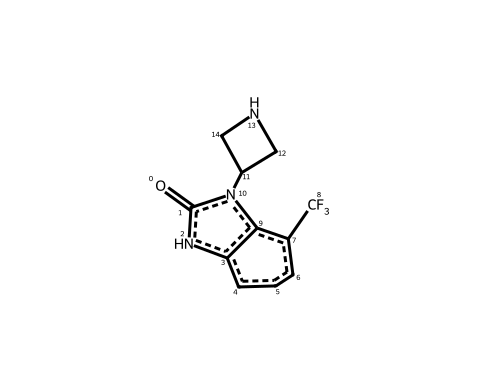 O=c1[nH]c2cccc(C(F)(F)F)c2n1C1CNC1